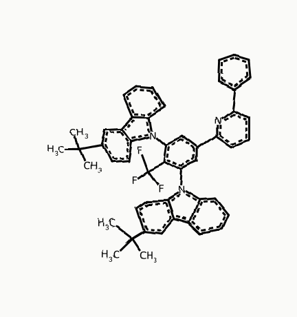 CC(C)(C)c1ccc2c(c1)c1ccccc1n2-c1cc(-c2cccc(-c3ccccc3)n2)cc(-n2c3ccccc3c3cc(C(C)(C)C)ccc32)c1C(F)(F)F